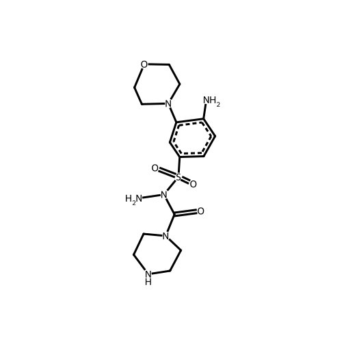 Nc1ccc(S(=O)(=O)N(N)C(=O)N2CCNCC2)cc1N1CCOCC1